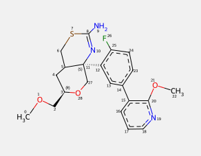 COC[C@H]1CC2CSC(N)=N[C@@]2(c2cc(-c3cccnc3OC)ccc2F)CO1